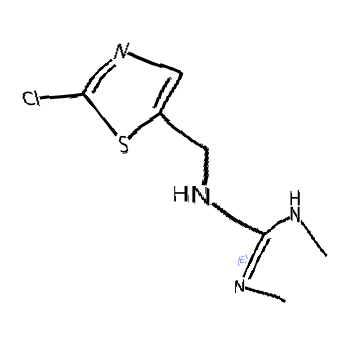 C/N=C(\NC)NCc1cnc(Cl)s1